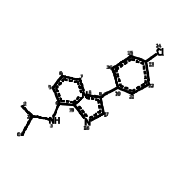 CC(C)Nc1cccn2c(-c3ccc(Cl)cc3)cnc12